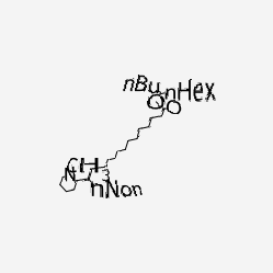 CCCCCCCCCC(CCCCCCCCCCCCC(=O)OC(CCCC)CCCCCC)C1CCCCN1C